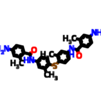 Cc1cc(NC(=O)c2ccc(N)cc2C)ccc1Sc1ccc(NC(=O)c2ccc(N)cc2C)cc1C